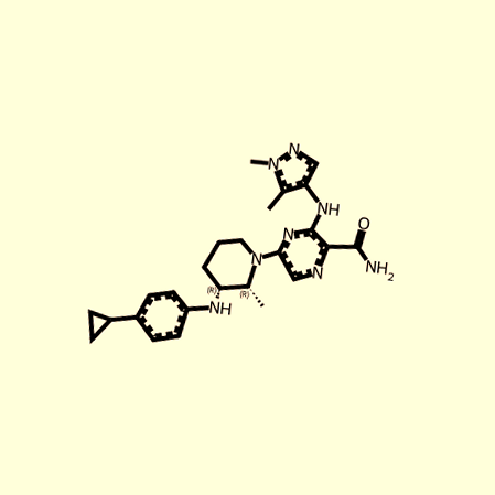 Cc1c(Nc2nc(N3CCC[C@@H](Nc4ccc(C5CC5)cc4)[C@H]3C)cnc2C(N)=O)cnn1C